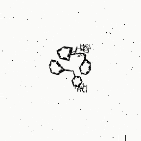 Cl.Cl.Cl.Cl.O.c1ccc(Cc2ccccc2)cc1.c1ccc(Cc2ccccc2)cc1